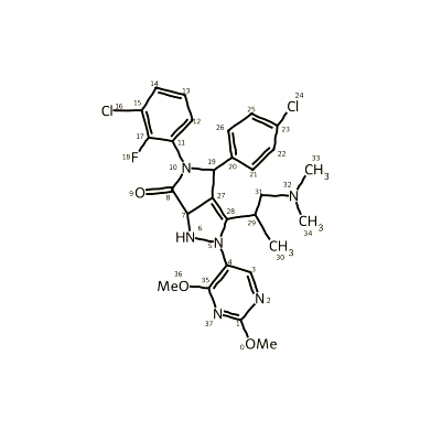 COc1ncc(N2NC3C(=O)N(c4cccc(Cl)c4F)C(c4ccc(Cl)cc4)C3=C2C(C)CN(C)C)c(OC)n1